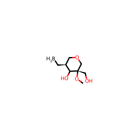 BC[C@H]1COC[C@](CO)(OC)C1O